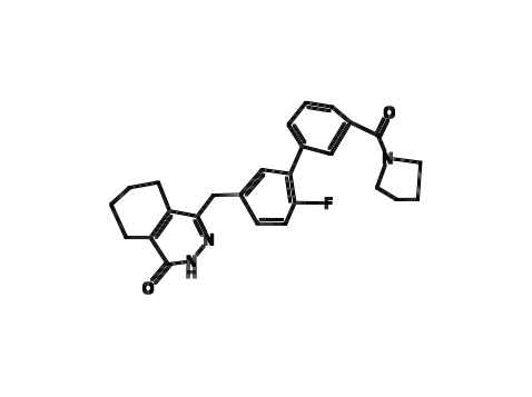 O=C(c1cccc(-c2cc(Cc3n[nH]c(=O)c4c3CCCC4)ccc2F)c1)N1CCCC1